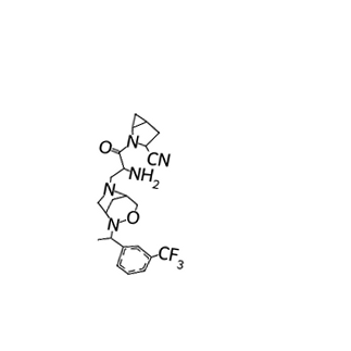 CC(c1cccc(C(F)(F)F)c1)N1OCC2CC1CN2CC(N)C(=O)N1C(C#N)CC2CC21